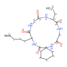 CNCCCC1NC(=O)C2(CCCCC2)NC(=O)CNC(=O)C(CC(=O)O)NC(=O)CNC1=O